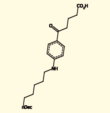 CCCCCCCCCCCCCCCNc1ccc(C(=O)CCCC(=O)O)cc1